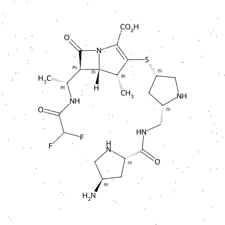 C[C@@H](NC(=O)C(F)F)[C@H]1C(=O)N2C(C(=O)O)=C(S[C@@H]3CN[C@H](CNC(=O)[C@@H]4C[C@@H](N)CN4)C3)[C@H](C)[C@H]12